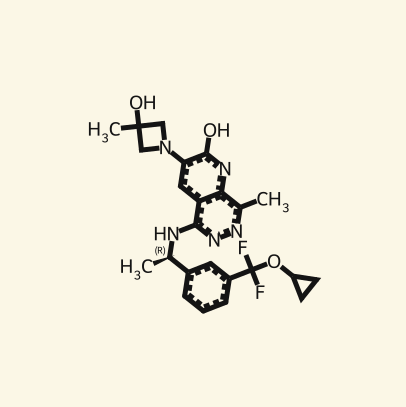 Cc1nnc(N[C@H](C)c2cccc(C(F)(F)OC3CC3)c2)c2cc(N3CC(C)(O)C3)c(O)nc12